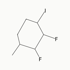 CC1CCC(I)C(F)C1F